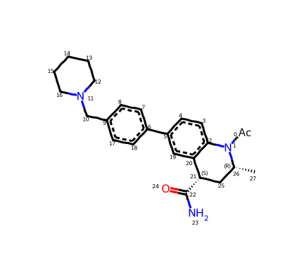 CC(=O)N1c2ccc(-c3ccc(CN4CCCCC4)cc3)cc2[C@@H](C(N)=O)C[C@H]1C